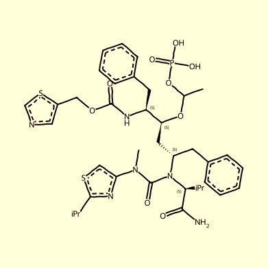 CC(O[C@@H](C[C@H](Cc1ccccc1)N(C(=O)N(C)c1csc(C(C)C)n1)[C@H](C(N)=O)C(C)C)[C@H](Cc1ccccc1)NC(=O)OCc1cncs1)OP(=O)(O)O